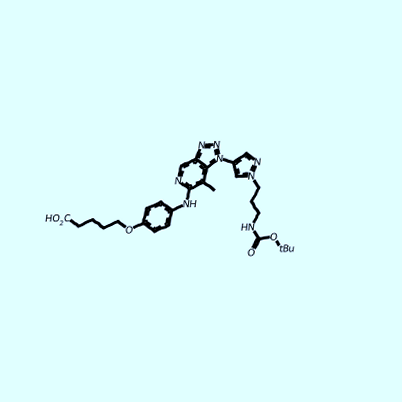 Cc1c(Nc2ccc(OCCCCC(=O)O)cc2)ncc2nnn(-c3cnn(CCCNC(=O)OC(C)(C)C)c3)c12